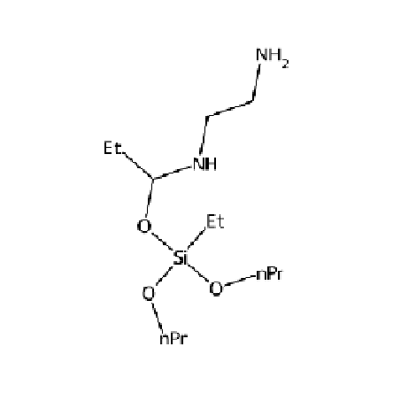 CCCO[Si](CC)(OCCC)OC(CC)NCCN